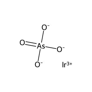 O=[As]([O-])([O-])[O-].[Ir+3]